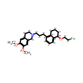 COc1cc2c(cc1OC)CN(CCCc1cccc3c1CCCC3OCCF)CC2